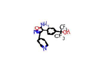 Nc1onc(-c2ccncc2)c1-c1ccc(C(O)(C(F)(F)F)C(F)(F)F)cc1